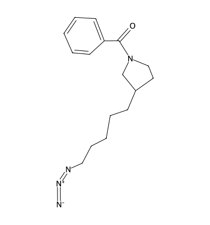 [N-]=[N+]=NCCCCCC1CCN(C(=O)c2ccccc2)C1